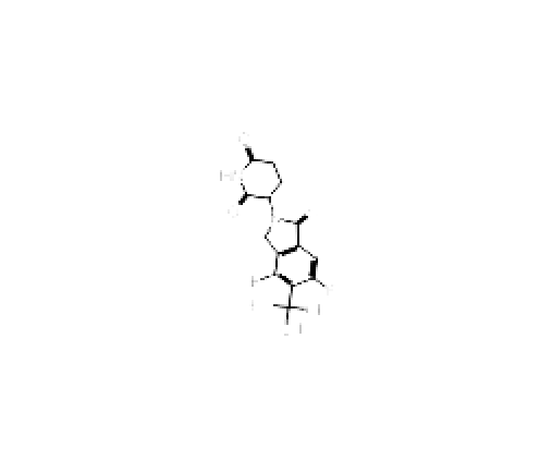 CC(C)(C)c1c(F)cc2c(c1F)CN(C1CCC(=O)NC1=O)C2=O